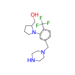 OCC1CCCN1c1cc(CN2CCNCC2)ccc1C(F)(F)F